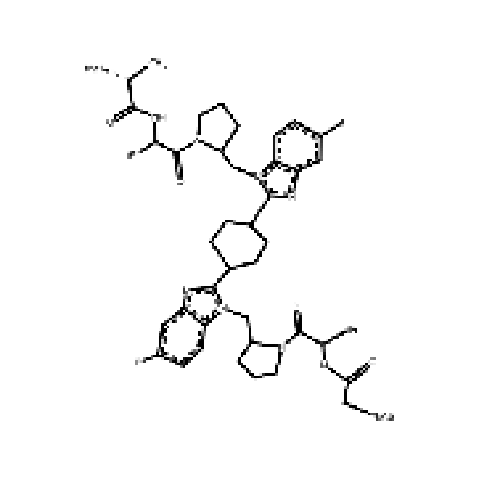 CNCC(=O)NC(C(=O)N1CCCC1Cn1c(C2CCC(c3nc4cc(F)ccc4n3CC3CCCN3C(=O)C(NC(=O)[C@@H](C)NC)C(C)C)CC2)nc2cc(F)ccc21)C(C)C